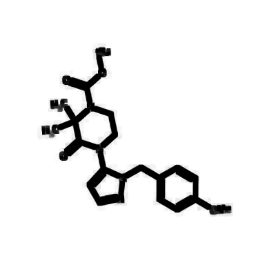 COc1ccc(Cn2nccc2N2CCN(C(=O)OC(C)(C)C)C(C)(C)C2=O)cc1